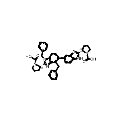 O=C(O)N1CCC[C@H]1c1nc2cc(-c3ccc4c(nc([C@@H]5CCCN5C(=O)O)n4Cc4ccccc4)c3Cc3ccccc3)ccc2[nH]1